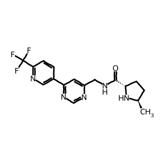 C[C@@H]1CC[C@@H](C(=O)NCc2cc(-c3ccc(C(F)(F)F)nc3)ncn2)N1